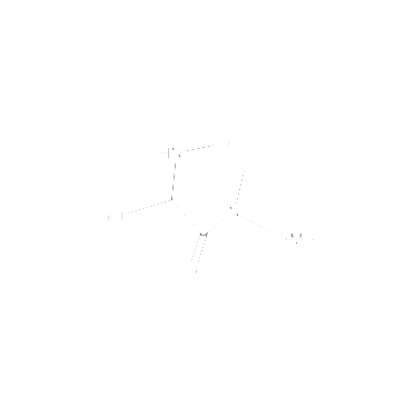 CCCC(NC(=O)O)C(=O)N(C)OC